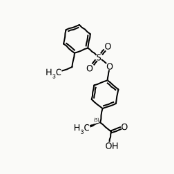 CCc1ccccc1S(=O)(=O)Oc1ccc([C@H](C)C(=O)O)cc1